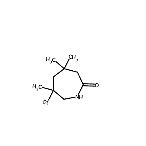 CCC1(C)CNC(=O)CC(C)(C)C1